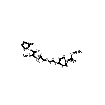 CC1CCCN1C(=O)C(NC(=O)COCCOC1CCN(C(=O)OC(C)(C)C)CC1)C(C)(C)C